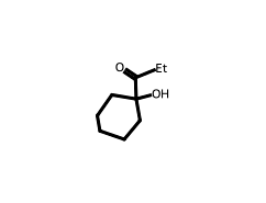 CCC(=O)C1(O)CCCCC1